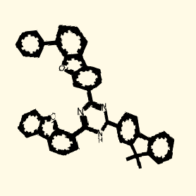 CC1(C)c2ccccc2-c2ccc(C3N=C(c4ccc5c(c4)oc4c(-c6ccccc6)cccc45)N=C(c4cccc5c4oc4ccccc45)N3)cc21